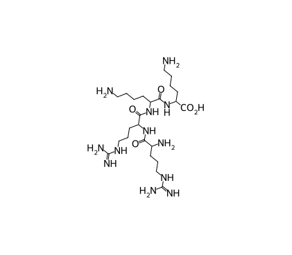 N=C(N)NCCCC(N)C(=O)NC(CCCNC(=N)N)C(=O)NC(CCCCN)C(=O)NC(CCCCN)C(=O)O